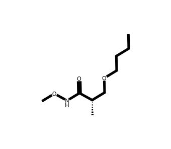 CCCCOC[C@H](C)C(=O)NOC